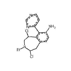 CCN1CC(Cl)c2c(ccc(N)c2-c2ccncn2)CC1Cl